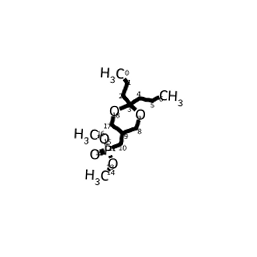 CCCC1(CCC)OCC(CP(=O)(OC)OC)CO1